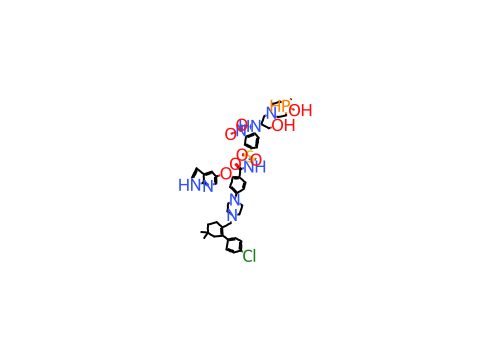 CC1(C)CCC(CN2CCN(c3ccc(C(=O)NS(=O)(=O)c4ccc(NC(CO)CN5CC[PH](C)(O)CC5)c([N+](=O)[O-])c4)c(Oc4cnc5[nH]ccc5c4)c3)CC2)=C(c2ccc(Cl)cc2)C1